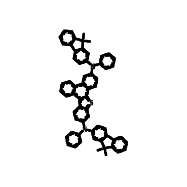 CC1(C)c2ccccc2-c2ccc(N(c3ccccc3)c3ccc4c(c3)sc3c5ccc(N(c6ccccc6)c6ccc7c(c6)C(C)(C)c6ccccc6-7)cc5c5ccccc5c43)cc21